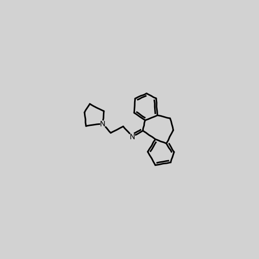 c1ccc2c(c1)CCc1ccccc1C2=NCCN1CCCC1